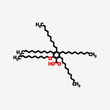 CCCCCCCCCCOc1c(CCCCCCCCCC)c(CCCCCCCCCC)c(CCCCCCCCCC)c(CCCCCCCCCC)c1C(=O)O